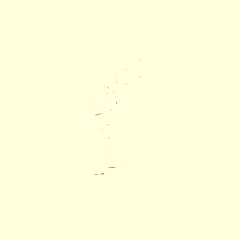 C=C(C)C(=O)OCCCCOC(=O)C(F)(F)C(F)(F)C(F)(F)C(=O)OC1CCCCC1